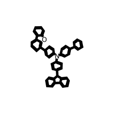 c1ccc(-c2ccc(N(c3ccc(-c4cccc5c4oc4ccccc45)cc3)c3ccc(C4c5ccccc5-c5ccccc54)cc3)cc2)cc1